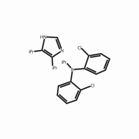 CC(C)B(c1ccccc1Cl)c1ccccc1Cl.CC(C)c1nc[nH]c1C(C)C